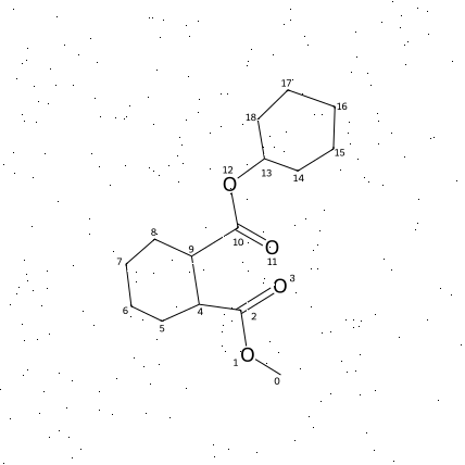 COC(=O)C1CCCCC1C(=O)OC1CCCCC1